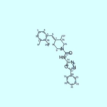 Cc1cccc(C=C2CCN(C(=O)Nc3nnc(-c4ccccc4)o3)CC2C)c1F